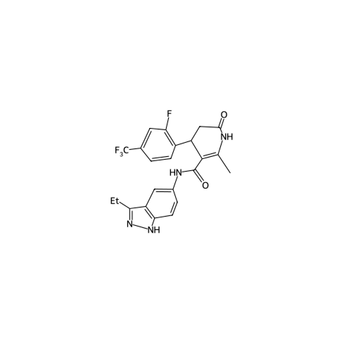 CCc1n[nH]c2ccc(NC(=O)C3=C(C)NC(=O)CC3c3ccc(C(F)(F)F)cc3F)cc12